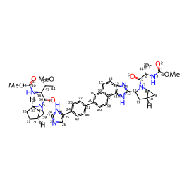 COC(=O)N[C@H](C(=O)N1C2C[C@@H]2C[C@H]1c1nc2ccc3cc(-c4ccc(-c5cnc([C@@H]6[C@H]7CC[C@H](C7)N6C(=O)[C@@H](NC(=O)OC)[C@@H](C)OC)[nH]5)cc4)ccc3c2[nH]1)C(C)C